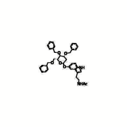 CC(=O)NCCc1c[nH]c2ccc(O[C@@H]3C[C@@H](OCc4ccccc4)[C@H](OCc4ccccc4)[C@@H](COCc4ccccc4)O3)cc12